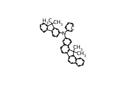 CC1(C)c2ccccc2-c2ccc(N(c3ccccc3)c3ccc4c5c(ccc4c3)-c3ccc4ccccc4c3C5(C)C)cc21